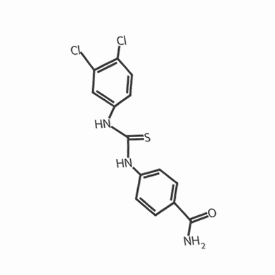 NC(=O)c1ccc(NC(=S)Nc2ccc(Cl)c(Cl)c2)cc1